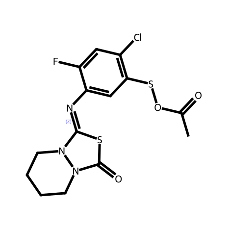 CC(=O)OSc1cc(/N=c2\sc(=O)n3n2CCCC3)c(F)cc1Cl